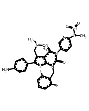 CN(C)Cc1c(-c2ccc(N)cc2)sc2c1c(=O)n(-c1ccc(N(C)[SH](=O)=O)nc1)c(=O)n2Cc1c(F)cccc1F